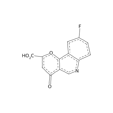 O=C(O)c1cc(=O)c2cnc3ccc(F)cc3c2o1